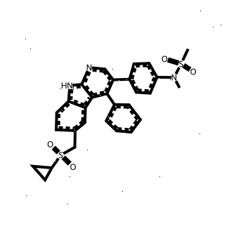 CN(c1ccc(-c2cnc3[nH]c4ccc(CS(=O)(=O)C5CC5)cc4c3c2-c2ccccc2)cc1)S(C)(=O)=O